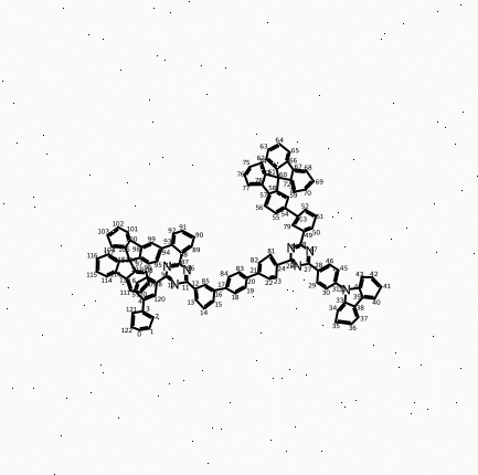 c1ccc(-c2cccc(-c3nc(-c4cccc(-c5ccc(-c6ccc(-c7nc(-c8ccc(-n9c%10ccccc%10c%10ccccc%109)cc8)nc(-c8cccc(-c9ccc%10c(c9)C9(c%11ccccc%11-c%11ccccc%119)c9ccccc9-%10)c8)n7)cc6)cc5)c4)nc(-c4ccccc4-c4ccc5c(c4)-c4ccccc4C54c5ccccc5-c5ccccc54)n3)c2)cc1